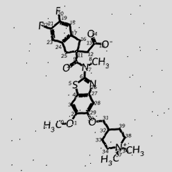 COc1cc2sc(N(C)C(=O)C3(CC(=O)[O-])Cc4cc(F)c(F)cc4C3)nc2cc1OCC1CC[N+](C)(C)CC1